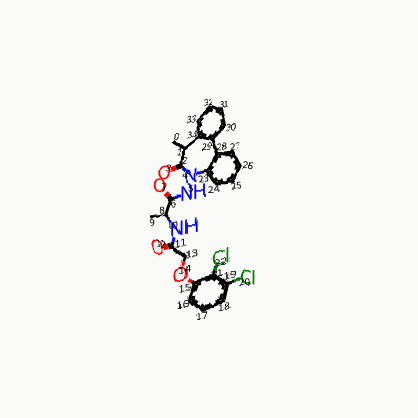 CC1C(=O)N(NC(=O)[C@H](C)NC(=O)COc2cccc(Cl)c2Cl)c2ccccc2-c2ccccc21